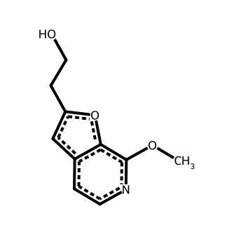 COc1nccc2cc(CCO)oc12